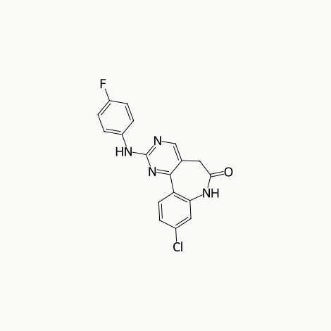 O=C1Cc2cnc(Nc3ccc(F)cc3)nc2-c2ccc(Cl)cc2N1